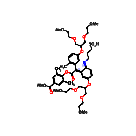 COCCOCC(COCCOC)OC1=CC(=C(\C(=O)Oc2c(C)cc(C(=O)OC)cc2C)c2cc(OC(COCCOC)COCCOC)ccc2C)/C(=N/CCCS(=O)(=O)O)C=C1